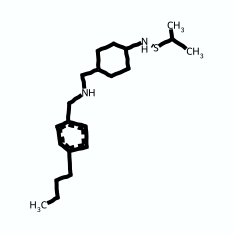 CCCCc1ccc(CNCC2CCC(NSC(C)C)CC2)cc1